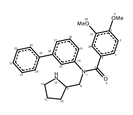 COc1ccc(C(=O)N(CC2CCCN2)c2cccc(-c3ccccc3)c2)cc1OC